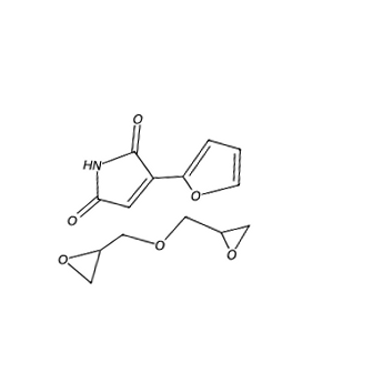 C(OCC1CO1)C1CO1.O=C1C=C(c2ccco2)C(=O)N1